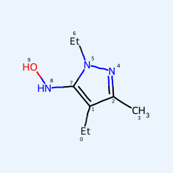 CCc1c(C)nn(CC)c1NO